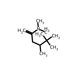 C=C(CC(C)C(C)(C)C)N(C)C